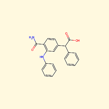 NC(=O)c1ccc(C(C(=O)O)c2ccccc2)cc1Nc1ccccc1